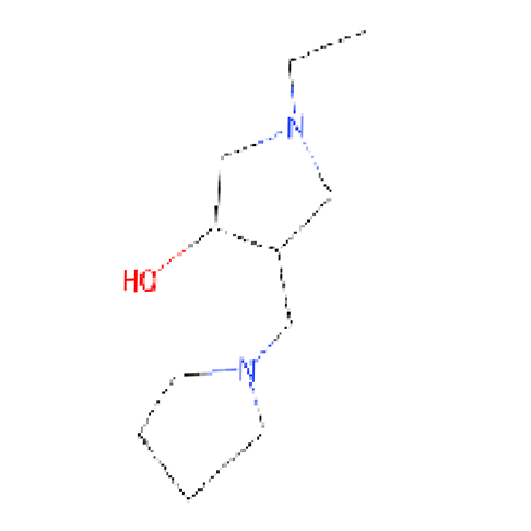 CCN1CC(O)C(CN2CCCC2)C1